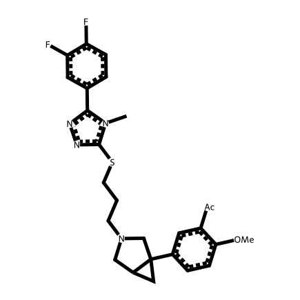 COc1ccc(C23CC2CN(CCCSc2nnc(-c4ccc(F)c(F)c4)n2C)C3)cc1C(C)=O